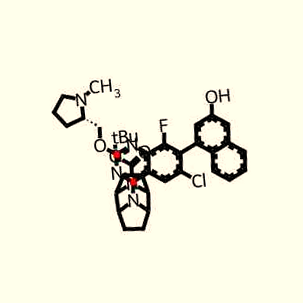 CN1CCC[C@H]1COc1nc(N2C3CCC2C2CCC3N2C(=O)OC(C)(C)C)c2cc(Cl)c(-c3cc(O)cc4ccccc34)c(F)c2n1